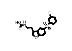 O=C(O)NCCc1coc2ccc(S(=O)(=O)c3cccc(F)c3)cc12